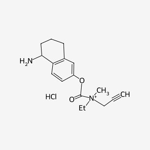 C#CC[N+](C)(CC)C(=O)Oc1ccc2c(c1)CCCC2N.Cl